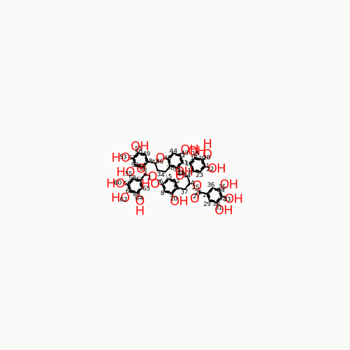 O=C(O[C@@H]1[C@@H](c2c(O)cc(O)c3c2O[C@H](c2cc(O)c(O)c(O)c2)[C@H](OC(=O)c2cc(O)c(O)c(O)c2)C3)c2c(O)cc(O)cc2O[C@@H]1c1cc(O)c(O)c(O)c1)c1cc(O)c(O)c(O)c1